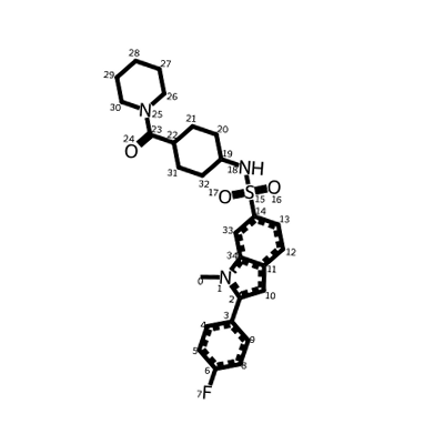 Cn1c(-c2ccc(F)cc2)cc2ccc(S(=O)(=O)NC3CCC(C(=O)N4CCCCC4)CC3)cc21